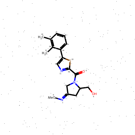 CO/N=C1/CC(CO)N(C(=O)c2ncc(-c3cccc(C)c3C)s2)C1